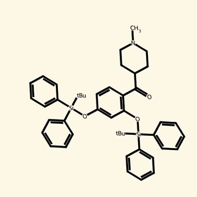 CN1CCC(C(=O)c2ccc(O[Si](c3ccccc3)(c3ccccc3)C(C)(C)C)cc2O[Si](c2ccccc2)(c2ccccc2)C(C)(C)C)CC1